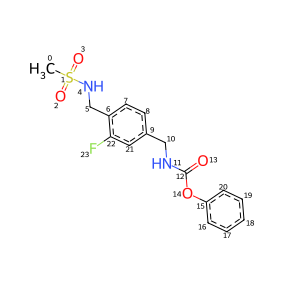 CS(=O)(=O)NCc1ccc(CNC(=O)Oc2ccccc2)cc1F